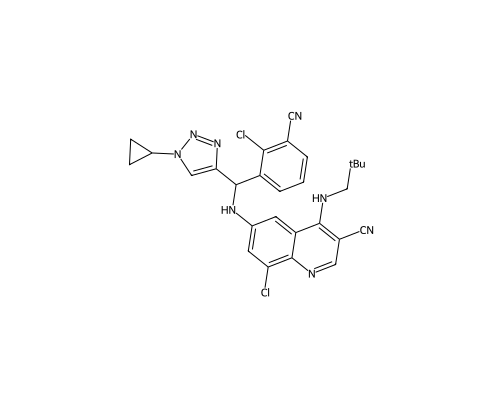 CC(C)(C)CNc1c(C#N)cnc2c(Cl)cc(NC(c3cn(C4CC4)nn3)c3cccc(C#N)c3Cl)cc12